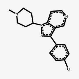 CN1CCC(n2nc(-c3ccc(Cl)cc3)c3cnccc32)CC1